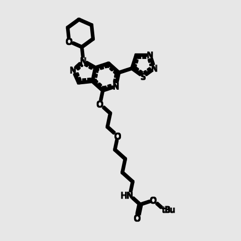 CC(C)(C)OC(=O)NCCCCOCCOc1nc(-c2cnns2)cc2c1cnn2C1CCCCO1